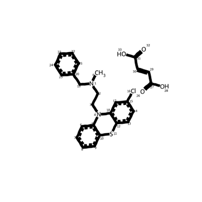 CN(CCN1c2ccccc2Sc2ccc(Cl)cc21)Cc1ccccc1.O=C(O)C=CC(=O)O